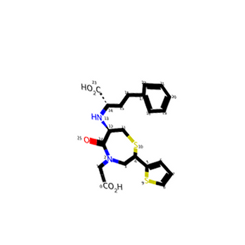 O=C(O)CN1CC(c2cccs2)SC[C@H](N[C@@H](CCc2ccccc2)C(=O)O)C1=O